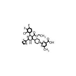 CCOC(=O)C1=C(C2CCN(c3nc(C)cc(C(=O)O)n3)CC2)NC(c2nccs2)=NC1c1ccc(F)c(F)c1Cl